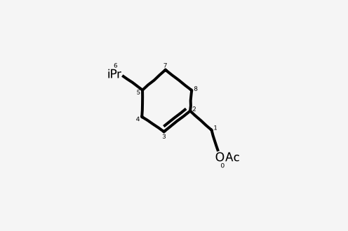 CC(=O)OCC1=CCC(C(C)C)CC1